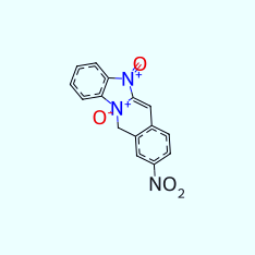 O=[N+]([O-])c1ccc2c(c1)C[N+]1([O-])C(=C2)[N+](=O)c2ccccc21